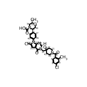 Cc1cc(Cl)ccc1C(=O)N1CCC(O)(Cn2cnc3c(cc(Cl)n3-c3ccc([C@@H]4CO[C@@H](C)CN4C(=O)O)cc3)c2=O)CC1